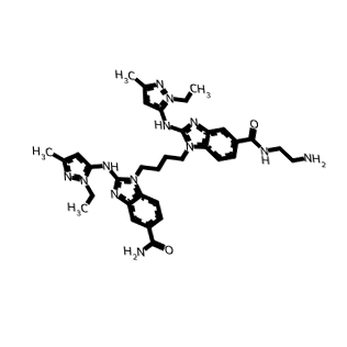 CCn1nc(C)cc1Nc1nc2cc(C(N)=O)ccc2n1CCCCn1c(Nc2cc(C)nn2CC)nc2cc(C(=O)NCCN)ccc21